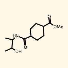 COC(=O)C1CCC(C(=O)NC(C)C(C)O)CC1